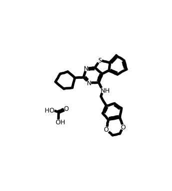 O=C(O)O.c1ccc2c(c1)sc1nc(C3CCCCC3)nc(NCc3ccc4c(c3)OCCO4)c12